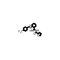 N=C(NC(=O)c1ccco1)c1ccccc1NCc1ccc(C(F)(F)F)cc1